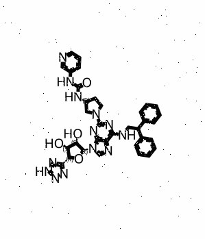 O=C(Nc1cccnc1)N[C@@H]1CCN(c2nc(NCC(c3ccccc3)c3ccccc3)c3ncn([C@@H]4O[C@H](c5nn[nH]n5)[C@@H](O)[C@@H]4O)c3n2)C1